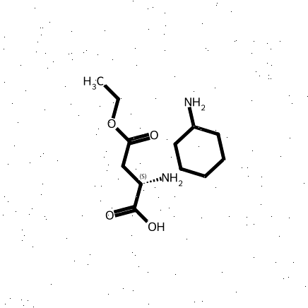 CCOC(=O)C[C@H](N)C(=O)O.NC1CCCCC1